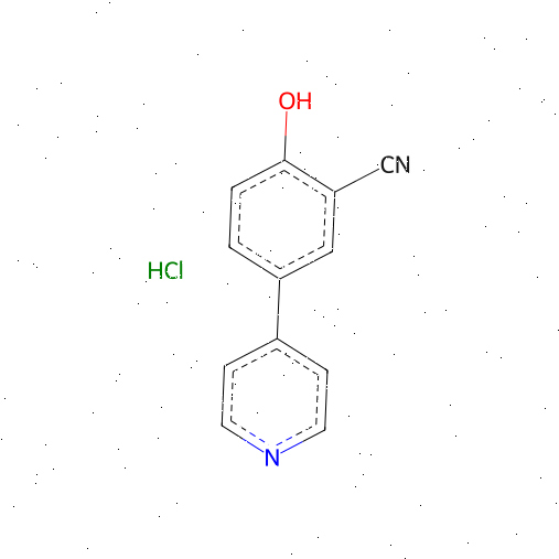 Cl.N#Cc1cc(-c2ccncc2)ccc1O